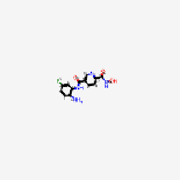 Nc1ccc(F)cc1NC(=O)c1ccc(C(=O)NO)nc1